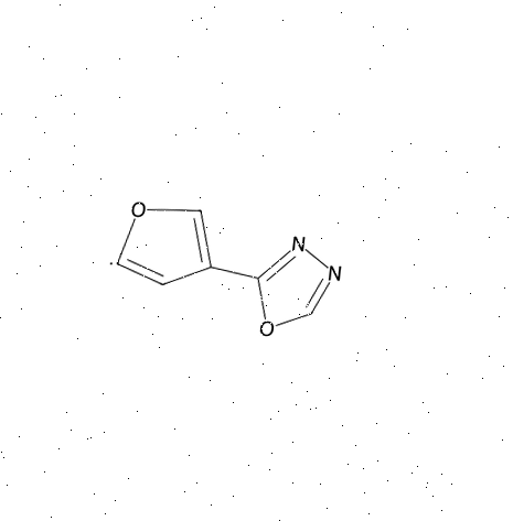 [c]1cc(-c2nnco2)co1